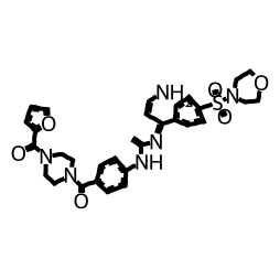 C=C(/N=C(\C=C/N)c1ccc(S(=O)(=O)N2CCOCC2)cc1)Nc1ccc(C(=O)N2CCN(C(=O)c3ccco3)CC2)cc1